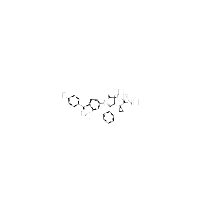 CC1(C)C(=O)N(c2ccc3c(-c4ccc(F)cc4)noc3c2)[C@@H](c2ccccc2)[C@@H]1C1(C(N)=O)CC1